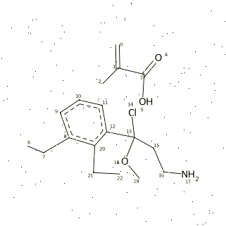 C=C(C)C(=O)O.CCc1cccc(C(Cl)(CCN)OC)c1CC